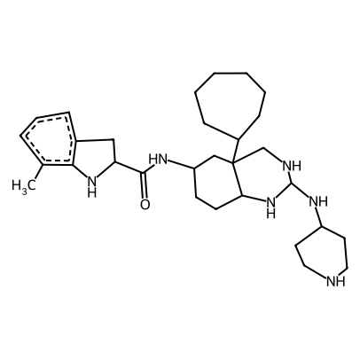 Cc1cccc2c1NC(C(=O)NC1CCC3NC(NC4CCNCC4)NCC3(C3CCCCCC3)C1)C2